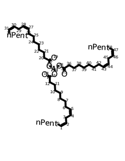 CCCCC/C=C\C/C=C\CCCCCCCC(=O)[O][Al]([O]C(=O)CCCCCCC/C=C\C/C=C\CCCCC)[O]C(=O)CCCCCCC/C=C\C/C=C\CCCCC